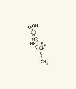 CCCCCOc1ccc(Nc2nc(-c3ccc(C(=O)O)cn3)cs2)cc1C(F)(F)F